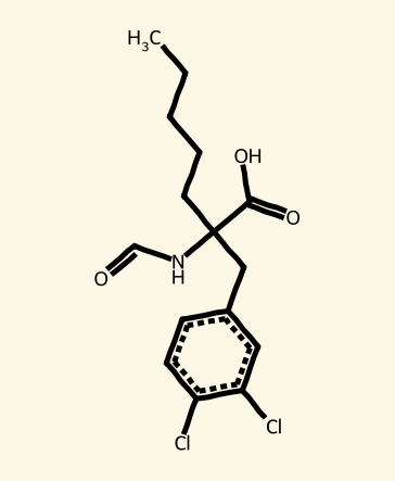 CCCCCC(Cc1ccc(Cl)c(Cl)c1)(NC=O)C(=O)O